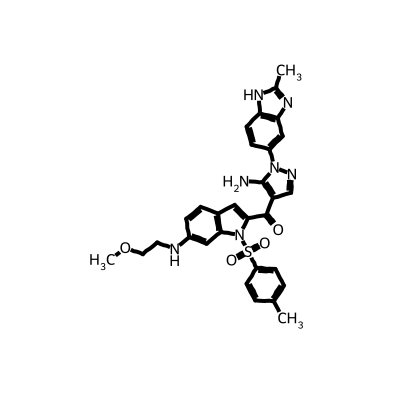 COCCNc1ccc2cc(C(=O)c3cnn(-c4ccc5[nH]c(C)nc5c4)c3N)n(S(=O)(=O)c3ccc(C)cc3)c2c1